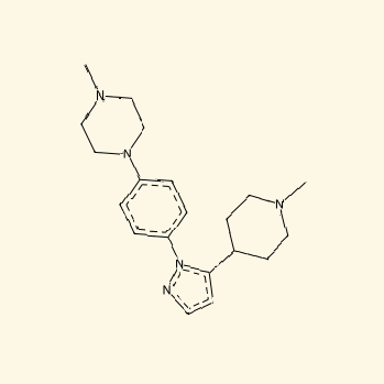 CN1CCC(c2ccnn2-c2ccc(N3CCN(C)CC3)cc2)CC1